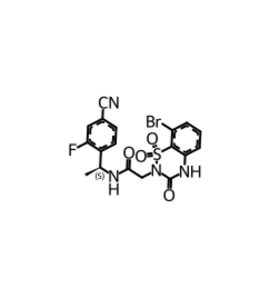 C[C@H](NC(=O)CN1C(=O)Nc2cccc(Br)c2S1(=O)=O)c1ccc(C#N)cc1F